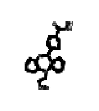 COCCN1C2=C(C=CCC2)N=C(c2ccc(C(=O)NO)cc2)c2ccccc21